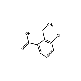 CCc1c(Cl)cccc1C(=O)O